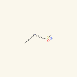 CCCCCCCC/C=C\CCCCCCCC(=O)SC(CC)N(C)C